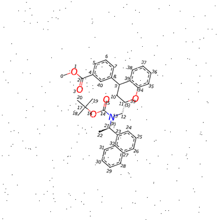 COC(=O)c1cccc(C2C[C@@H](CN(C(=O)OC(C)(C)C)[C@H](C)c3cccc4ccccc34)Oc3ccccc32)c1